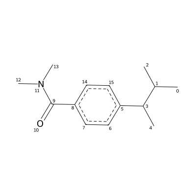 CC(C)C(C)c1ccc(C(=O)N(C)C)cc1